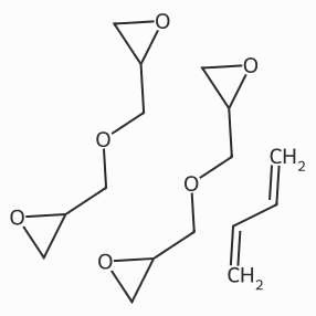 C(OCC1CO1)C1CO1.C(OCC1CO1)C1CO1.C=CC=C